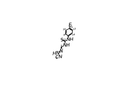 N#CNN=CNC(=S)Nc1ccc(F)cc1